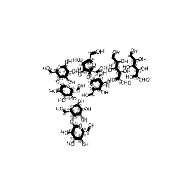 O=C[C@H](O)[C@@H](O)[C@@H](O)[C@H](O)CO.O=C[C@H](O)[C@@H](O)[C@H](O)[C@H](O)CO.OC[C@H]1O[C@@H](O[C@H]2[C@H](O)[C@@H](O)[C@H](O)O[C@@H]2CO)[C@H](O)[C@@H](O)[C@H]1O.OC[C@H]1O[C@@](CO)(O[C@H]2O[C@H](CO)[C@@H](O)[C@H](O)[C@H]2O)[C@@H](O)[C@@H]1O.OC[C@H]1O[C@H](O[C@H]2[C@H](O)[C@@H](O)[C@H](O)O[C@@H]2CO)[C@H](O)[C@@H](O)[C@@H]1O